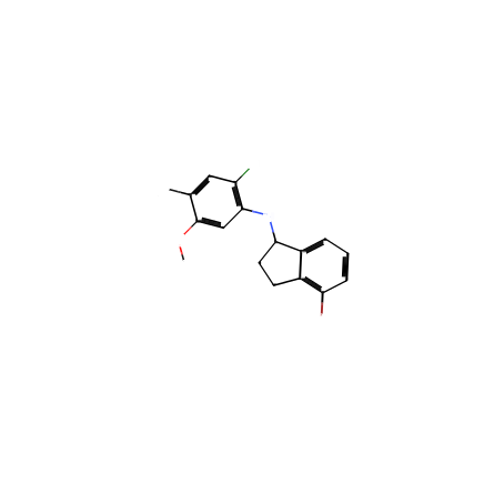 CCOC(=O)c1cc(Cl)c(NC2CCc3c(Br)cccc32)cc1OCC